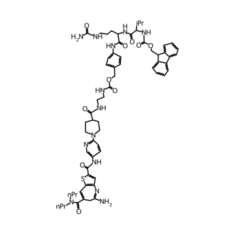 CCCN(CCC)C(=O)C1=Cc2sc(C(=O)Nc3ccc(N4CCC(C(=O)NCCNC(=O)OCc5ccc(NC(=O)C(CCCNC(N)=O)NC(=O)C(NC(=O)OCC6c7ccccc7-c7ccccc76)C(C)C)cc5)CC4)nc3)cc2N=C(N)C1